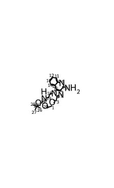 CCOCc1nc2c(N)nc3ccccc3c2n1CCNC(=O)OC(C)(C)C